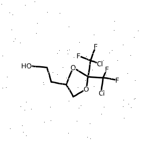 OCCC1COC(C(F)(F)Cl)(C(F)(F)Cl)O1